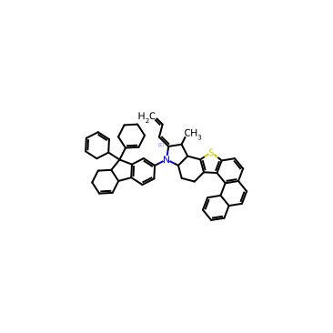 C=C/C=C1\C(C)C2c3sc4ccc5c(c4c3CCC2N1c1ccc2c(c1)C(C1=CCCCC1)(C1C=CC=CC1)C1CCC=CC21)C1C=CC=CC1C=C5